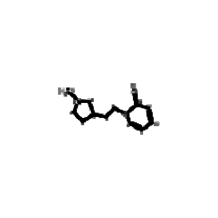 CN1CCC(CCn2ccccc2=O)C1